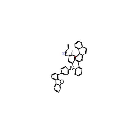 C=C/C=C\c1cc(N(c2ccc(-c3cccc4c3oc3ccccc34)cc2)c2ccccc2-c2ccc3c(ccc4ccccc43)c2)ccc1C